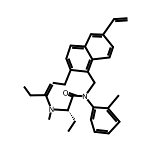 C=Cc1ccc2c(CN(C(=O)[C@H](CC)N(C)C(=C)CC)c3ccccc3C)c(CC)ccc2c1